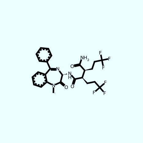 [CH2]N1C(=O)[C@@H](NC(=O)[C@H](CCC(F)(F)F)[C@H](CCC(F)(F)F)C(N)=O)N=C(c2ccccc2)c2ccccc21